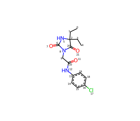 CCC1(CC)NC(=O)N(CC(=O)Nc2ccc(Cl)cc2)C1=O